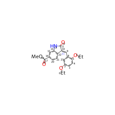 CCOc1ccc(OCC)c(/C=C2/C(=O)Nc3cc(C(=O)OC)ccc32)c1